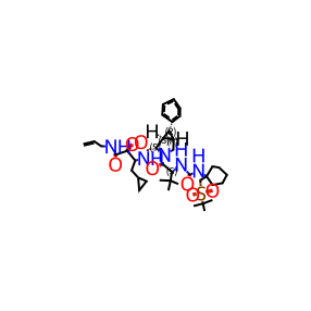 C=CCNC(=O)C(=O)C(CC1CC1)NC(=O)[C@@H]1[C@@H]2[C@H](CN1C(=O)[C@@H](NC(=O)NC1(CS(=O)(=O)C(C)(C)C)CCCCC1)C(C)(C)C)[C@H]2c1ccccc1